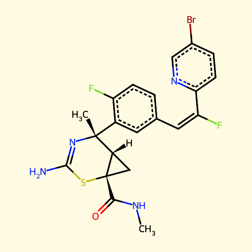 CNC(=O)[C@]12C[C@H]1[C@@](C)(c1cc(/C=C(/F)c3ccc(Br)cn3)ccc1F)N=C(N)S2